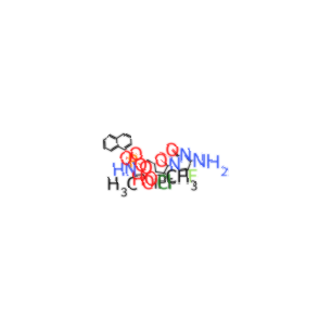 CC(C)OC(=O)[C@@H](C)N[P@](=O)(OC[C@H]1OC(n2cc(F)c(N)nc2=O)[C@](C)(Cl)[C@@H]1O)Oc1cccc2ccccc12